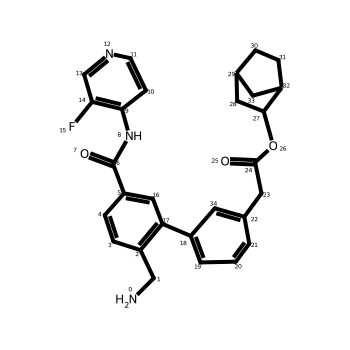 NCc1ccc(C(=O)Nc2ccncc2F)cc1-c1cccc(CC(=O)OC2CC3CCC2C3)c1